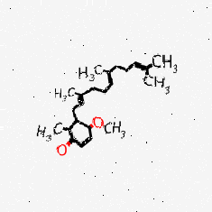 COC1C=CC(=O)C(C)C1C/C=C(\C)CC/C=C(\C)CCC=C(C)C